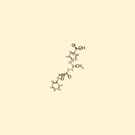 CC(CCC(=O)NOCc1ccccc1)Cc1ccc(C(=O)O)cc1